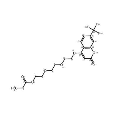 CCC(=O)OCCOCCOCCOc1cc(=S)oc2cc(C(F)(F)F)ccc12